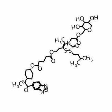 C/C(=C(\CCOC(=O)CCCC(=O)O[C@H]1CC[C@H](N(C)C(=O)c2ccc3nonc3c2)CC1)SSCCC(C)C)N(C=O)CC(=O)OCC1OCC(O)C(O)C1O